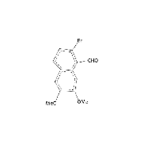 COc1cc2ccc(Br)c(C=O)c2cc1OC